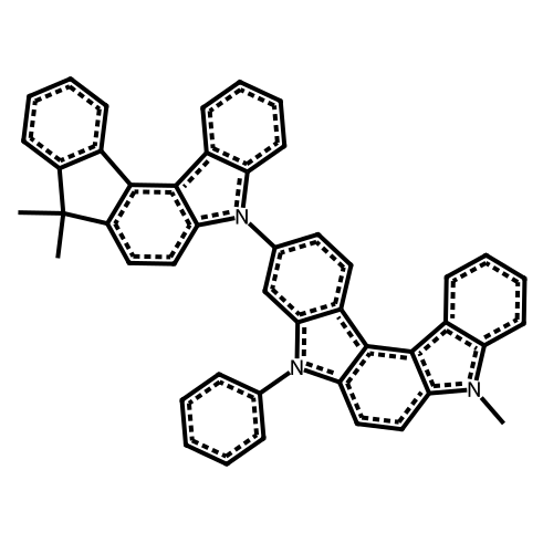 Cn1c2ccccc2c2c3c4ccc(-n5c6ccccc6c6c7c(ccc65)C(C)(C)c5ccccc5-7)cc4n(-c4ccccc4)c3ccc21